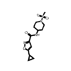 CS(=O)(=O)N1CCC(NC(=O)c2cc(C3CC3)on2)CC1